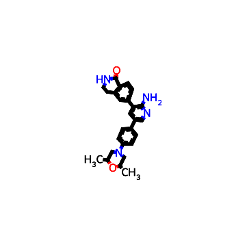 CC1CN(c2ccc(-c3cnc(N)c(-c4ccc5c(c4)CCNC5=O)c3)cc2)CC(C)O1